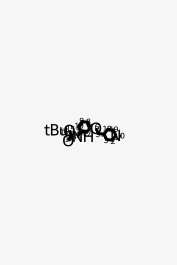 CN1CCC(COc2cccc(NC(=O)OC(C)(C)C)c2)CC1